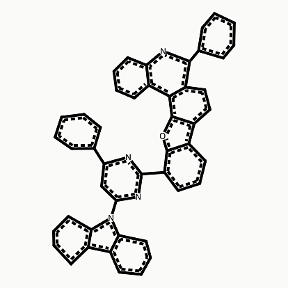 c1ccc(-c2cc(-n3c4ccccc4c4ccccc43)nc(-c3cccc4c3oc3c4ccc4c(-c5ccccc5)nc5ccccc5c43)n2)cc1